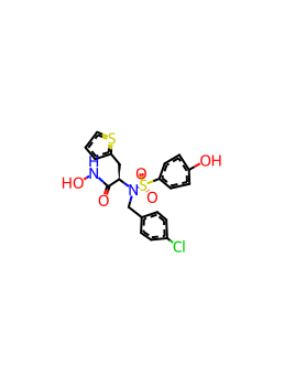 O=C(NO)[C@@H](Cc1cccs1)N(Cc1ccc(Cl)cc1)S(=O)(=O)c1ccc(O)cc1